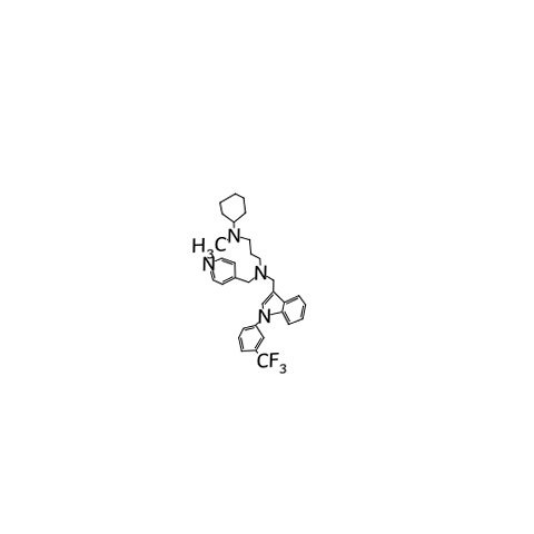 CN(CCCN(Cc1ccncc1)Cc1cn(-c2cccc(C(F)(F)F)c2)c2ccccc12)C1CCCCC1